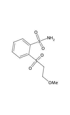 COCCS(=O)(=O)c1ccccc1S(N)(=O)=O